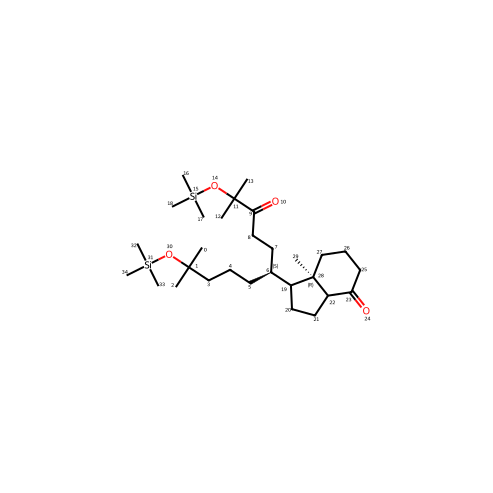 CC(C)(CCC[C@@H](CCC(=O)C(C)(C)O[Si](C)(C)C)C1CCC2C(=O)CCC[C@@]21C)O[Si](C)(C)C